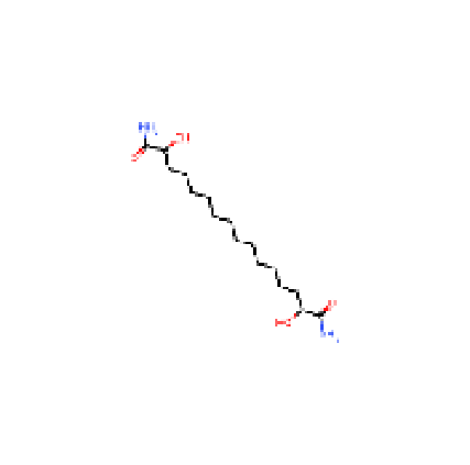 NC(=O)C(O)CCCCCCCCCCCCC(O)C(N)=O